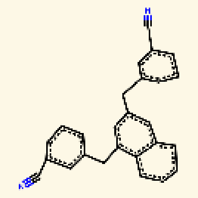 N#Cc1cccc(Cc2[c]c(Cc3cccc(C#N)c3)c3ccccc3c2)c1